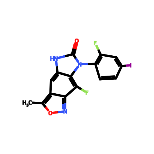 Cc1onc2c(F)c3c(cc12)[nH]c(=O)n3-c1ccc(I)cc1F